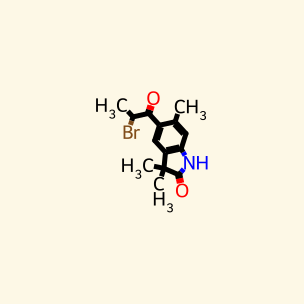 Cc1cc2c(cc1C(=O)C(C)Br)C(C)(C)C(=O)N2